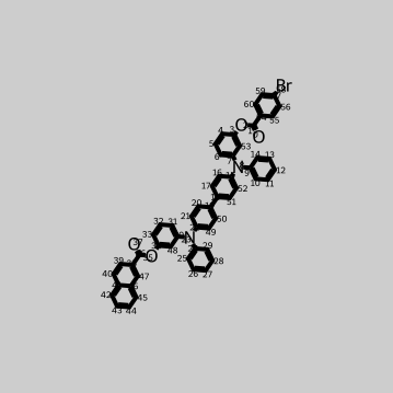 O=C(Oc1cccc(N(c2ccccc2)c2ccc(-c3ccc(N(c4ccccc4)c4cccc(OC(=O)c5ccc6ccccc6c5)c4)cc3)cc2)c1)c1ccc(Br)cc1